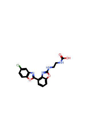 O=C(O)NCCNc1nc2c(-c3nc4cc(Cl)ccc4o3)cccc2o1